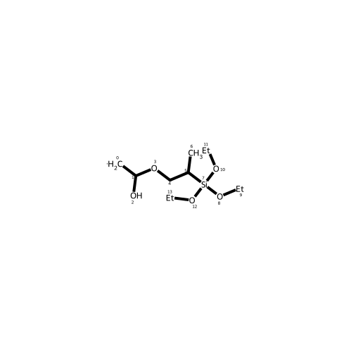 [CH2]C(O)OCC(C)[Si](OCC)(OCC)OCC